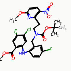 COC(=O)c1cc(F)c(Cl)cc1Nc1ccc(F)cc1CN(CCc1nc(OC)ccc1[N+](=O)[O-])C(=O)OC(C)(C)C